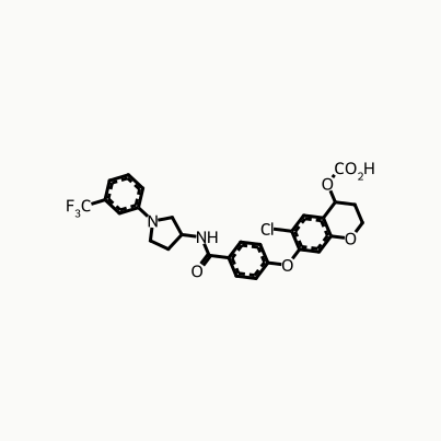 O=C(O)OC1CCOc2cc(Oc3ccc(C(=O)NC4CCN(c5cccc(C(F)(F)F)c5)C4)cc3)c(Cl)cc21